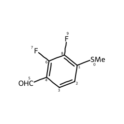 CSc1ccc(C=O)c(F)c1F